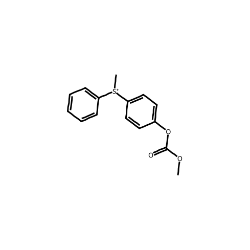 COC(=O)Oc1ccc([S+](C)c2ccccc2)cc1